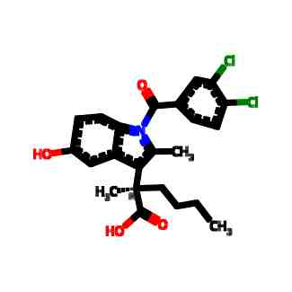 CCCC[C@@](C)(C(=O)O)c1c(C)n(C(=O)c2ccc(Cl)c(Cl)c2)c2ccc(O)cc12